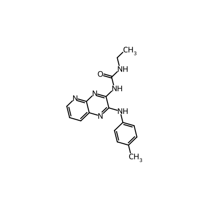 CCNC(=O)Nc1nc2ncccc2nc1Nc1ccc(C)cc1